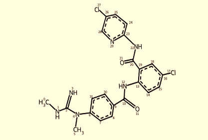 CNC(=N)N(C)c1ccc(C(=O)Nc2ccc(Cl)cc2C(=O)Nc2ccc(Cl)cn2)cc1